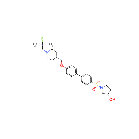 CC(C)(F)CN1CCC(COc2ccc(-c3ccc(S(=O)(=O)N4CC[C@H](O)C4)cc3)cc2)CC1